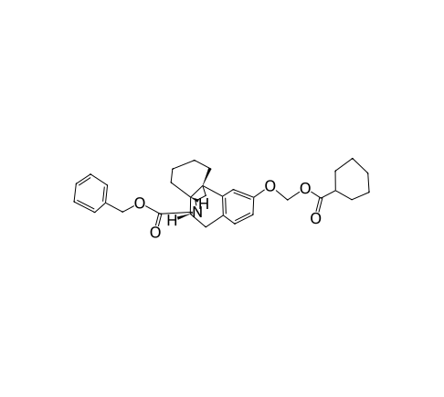 O=C(OCOc1ccc2c(c1)[C@@]13CCCC[C@H]1[C@@H](C2)N(C(=O)OCc1ccccc1)CC3)C1CCCCC1